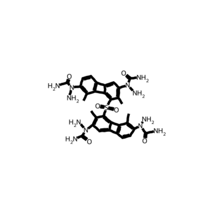 Cc1c(N(N)C(N)=O)ccc2c1-c1c-2cc(N(N)C(N)=O)c(C)c1S(=O)(=O)c1c(C)c(N(N)C(N)=O)cc2c1-c1c-2ccc(N(N)C(N)=O)c1C